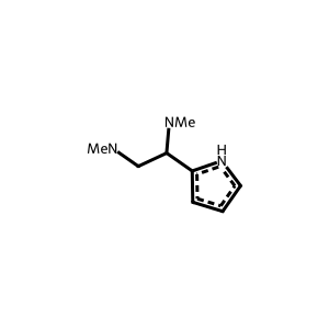 CNCC(NC)c1ccc[nH]1